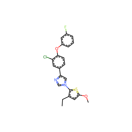 CCc1cc(OC)sc1-n1cnc(-c2ccc(Oc3cccc(F)c3)c(Cl)c2)c1